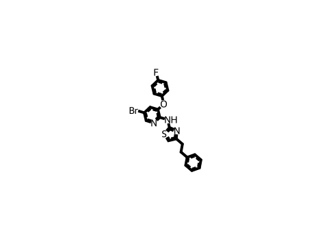 Fc1ccc(Oc2cc(Br)cnc2Nc2nc(CCc3ccccc3)cs2)cc1